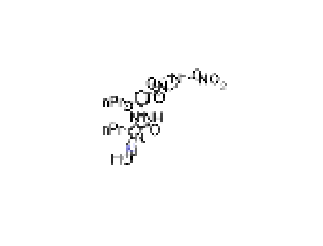 CCCOc1ccc(S(=O)(=O)N2CCN(CCO[N+](=O)[O-])CC2)cc1-c1nc2c(CCC)c(/C=N/O)n(C)c2c(=O)[nH]1